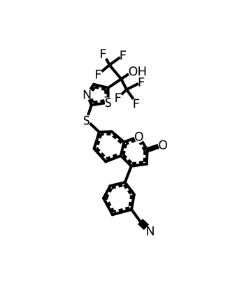 N#Cc1cccc(-c2cc(=O)oc3cc(Sc4ncc(C(O)(C(F)(F)F)C(F)(F)F)s4)ccc23)c1